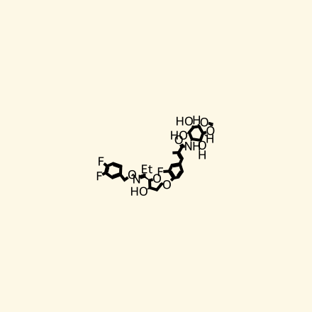 CCC(=NOCc1ccc(F)c(F)c1)[C@H]1O[C@@H](Oc2ccc(C=C(C)C(=O)N[C@@H]3[C@H](O)[C@@H](O)[C@H]4OCO[C@H]4[C@@H]3O)cc2F)C[C@@H]1O